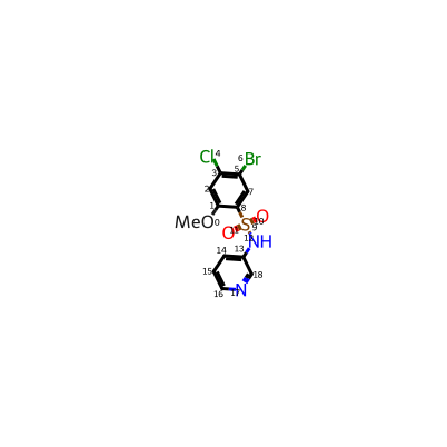 COc1cc(Cl)c(Br)cc1S(=O)(=O)Nc1cccnc1